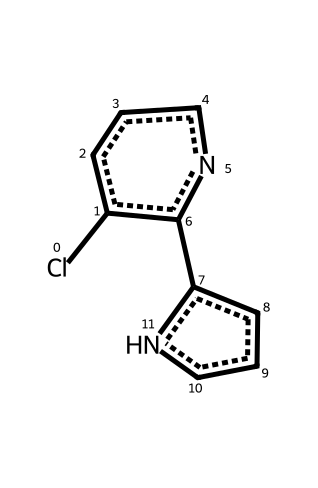 Clc1cccnc1-c1ccc[nH]1